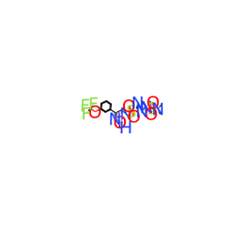 CO/N=C(\CNS(=O)(=O)c1ncn(S(=O)(=O)N(C)C)n1)c1cccc(OC(F)(F)F)c1